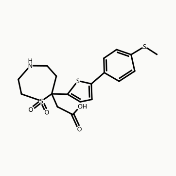 CSc1ccc(-c2ccc(C3(CC(=O)O)CCNCCS3(=O)=O)s2)cc1